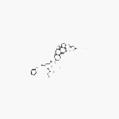 COC(=O)CCC(C)[C@H]1CC[C@H]2[C@@H]3[C@H](O)C[C@@H]4C[C@@H](NC(=O)C(CCC(=O)OCc5ccccc5)NC(=O)C(N)CCC(=O)O)CC[C@]4(C)[C@H]3C[C@H](O)[C@]12C.Cl